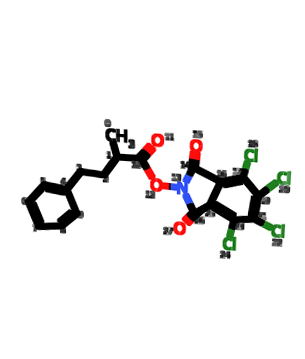 CC(CCc1ccccc1)C(=O)ON1C(=O)c2c(Cl)c(Cl)c(Cl)c(Cl)c2C1=O